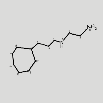 NCCNCCCC1CCCCCC1